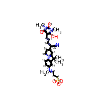 CN(CCCS(=O)(=O)[O-])c1ccc2c(c1)C(C)(C)c1cc(/C(C#N)=C/C=C/c3c(O)n(C)c(=O)n(C)c3=O)cc[n+]1-2